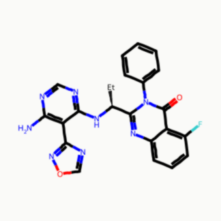 CC[C@H](Nc1ncnc(N)c1-c1ncon1)c1nc2cccc(F)c2c(=O)n1-c1ccccc1